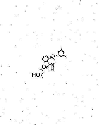 Cc1cc(C)cc(C23C[C@]24c2ccccc2C([C@H](C)OC(C)CC(C)O)NCC34)c1